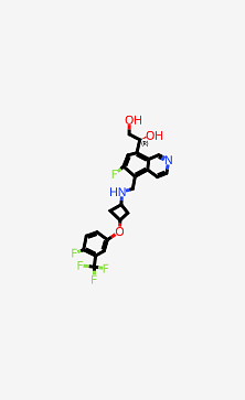 OC[C@H](O)c1cc(F)c(CNC2CC(Oc3ccc(F)c(C(F)(F)F)c3)C2)c2ccncc12